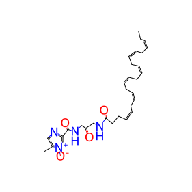 CC/C=C\C/C=C\C/C=C\C/C=C\C/C=C\C/C=C\CCC(=O)NCC(=O)CNC(=O)c1c[n+]([O-])c(C)cn1